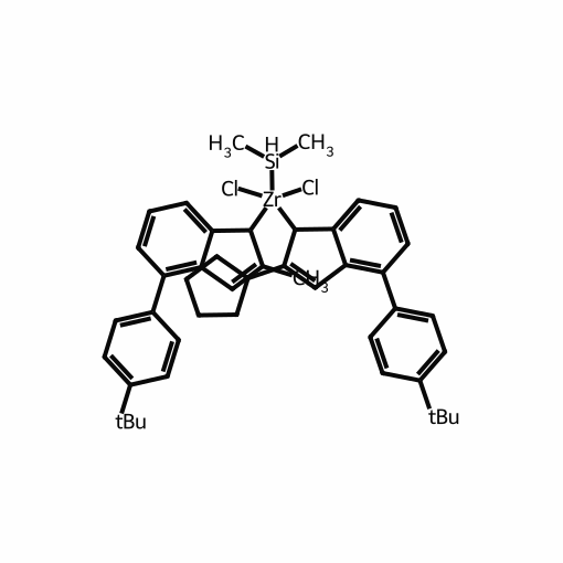 CC1=Cc2c(-c3ccc(C(C)(C)C)cc3)cccc2[CH]1[Zr]([Cl])([Cl])([CH]1C(C2CCCC2)=Cc2c(-c3ccc(C(C)(C)C)cc3)cccc21)[SiH](C)C